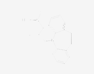 C[C@H](CN(C)C)CN1c2ccccc2CCc2ccccc21